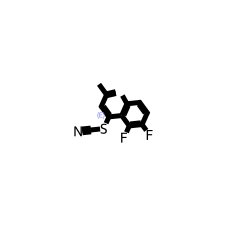 C=C(C)/C=C(/SC#N)c1c(C)ccc(F)c1F